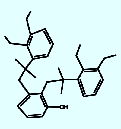 CCc1cccc(C(C)(C)Cc2cccc(O)c2CC(C)(C)c2cccc(CC)c2CC)c1CC